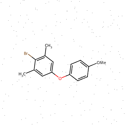 COc1ccc(Oc2cc(C)c(Br)c(C)c2)cc1